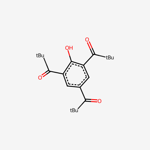 CC(C)(C)C(=O)c1cc(C(=O)C(C)(C)C)c(O)c(C(=O)C(C)(C)C)c1